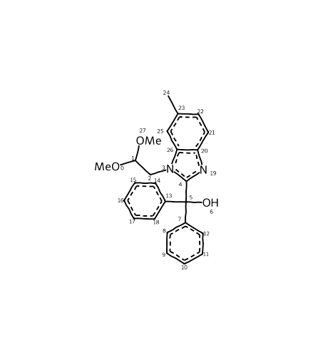 COC(Cn1c(C(O)(c2ccccc2)c2ccccc2)nc2ccc(C)cc21)OC